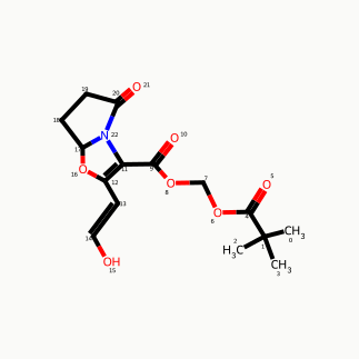 CC(C)(C)C(=O)OCOC(=O)C1=C(C=CO)OC2CCC(=O)N12